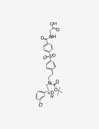 CC(C)(C)OC(=O)N(CCc1ccc(S(=O)(=O)c2ccc(C(=O)NCC(=O)O)cc2)cc1)C[C@H](O)c1cccc(Cl)c1